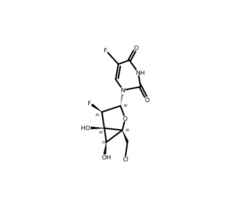 O=c1[nH]c(=O)n([C@@H]2O[C@]3(CCl)[C@@H](O)[C@]3(O)[C@H]2F)cc1F